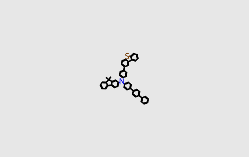 CC1(C)c2ccccc2-c2ccc(N(c3ccc(-c4ccc(-c5ccccc5)cc4)cc3)c3ccc(-c4ccc5sc6ccccc6c5c4)cc3)cc21